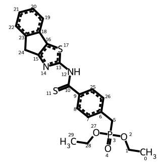 CCOP(=O)(Cc1ccc(C(=S)Nc2nc3c(s2)-c2ccccc2C3)cc1)OCC